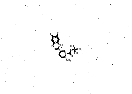 C[C@@H]1CC[C@@H](C(=O)Nc2cc(F)c(F)cc2O)CN1C(=O)OC(C)(C)C